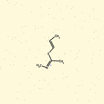 CC=CS/C(C)=N\C